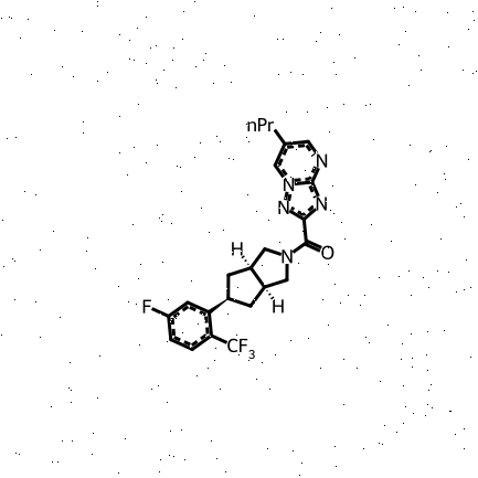 CCCc1cnc2nc(C(=O)N3C[C@H]4C[C@@H](c5cc(F)ccc5C(F)(F)F)C[C@H]4C3)nn2c1